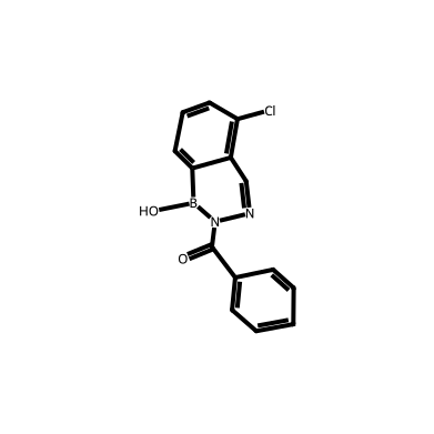 O=C(c1ccccc1)N1N=Cc2c(Cl)cccc2B1O